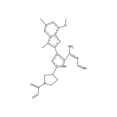 C=CC(=C)N1CCC(c2cc(-c3sc4c(OC)cc(C)cc4c3C)c(/C(N)=N\C=N)[nH]2)C1